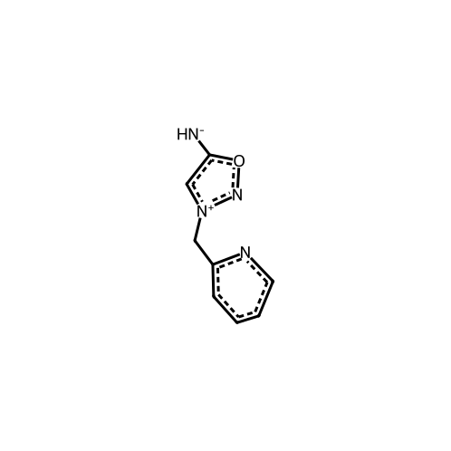 [NH-]c1c[n+](Cc2ccccn2)no1